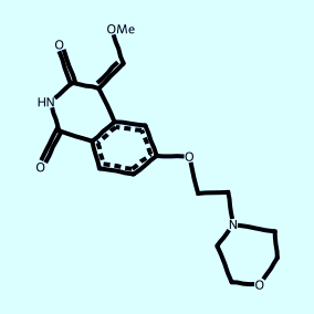 COC=C1C(=O)NC(=O)c2ccc(OCCN3CCOCC3)cc21